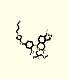 COC[C@@](C)(F)CN1[C@H](c2ccc(OC3CN(CCCF)C3)cc2OC)c2ccc3[nH]ncc3c2C[C@H]1C